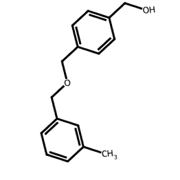 Cc1cccc(COCc2ccc(CO)cc2)c1